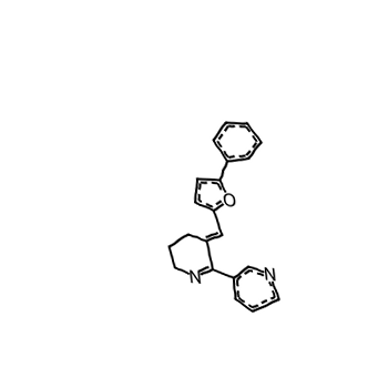 C(=C1/CCCN=C1c1cccnc1)/c1ccc(-c2ccccc2)o1